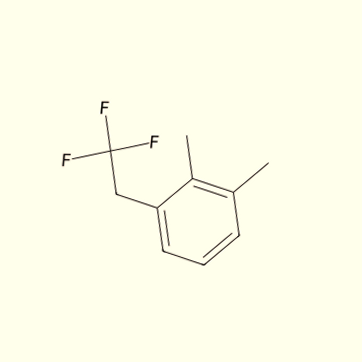 Cc1cccc(CC(F)(F)F)c1C